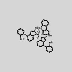 CCCCC1=Cc2c(-c3ccccc3CCC)cccc2[CH]1[Hf]([Cl])([Cl])([c]1cccc2c1[SiH2]c1ccccc1-2)[CH]1C(CCCC)=Cc2c(-c3ccccc3CCC)cccc21